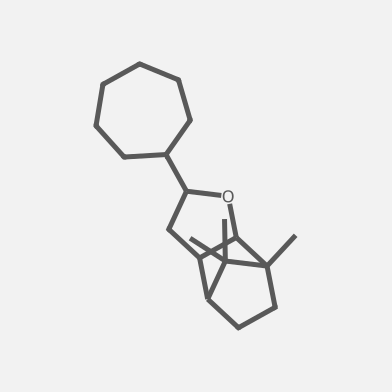 CC1(C)C2CCC1(C)C1OC([C]3CCCCCC3)CC21